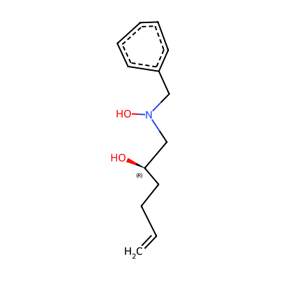 C=CCC[C@@H](O)CN(O)Cc1ccccc1